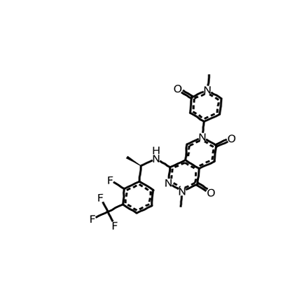 C[C@@H](Nc1nn(C)c(=O)c2cc(=O)n(-c3ccn(C)c(=O)c3)cc12)c1cccc(C(F)(F)F)c1F